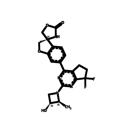 C[C@H]1[C@H](O)CN1c1nc(-c2ccc3c(c2)OC[C@@]32COC(=O)N2)c2c(n1)C(F)(F)CC2